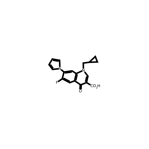 O=C(O)c1cn(CC2CC2)c2cc(-n3cccc3)c(F)cc2c1=O